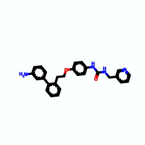 Nc1cccc(-c2ccccc2CCOc2ccc(NC(=O)NCc3cccnc3)cc2)c1